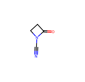 N#CN1CCC1=O